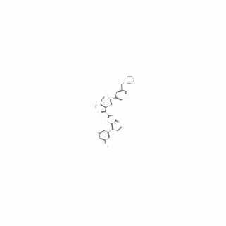 Oc1cc(F)cc(-c2ccnc3[nH]c(-c4n[nH]c5cnc(-c6cncc(CN7CCCC7)c6)cc45)nc23)c1